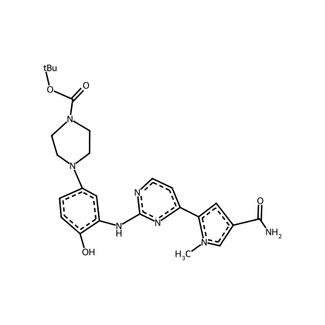 Cn1cc(C(N)=O)cc1-c1ccnc(Nc2cc(N3CCN(C(=O)OC(C)(C)C)CC3)ccc2O)n1